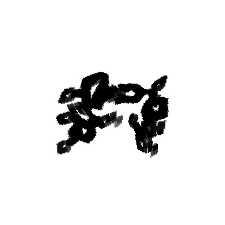 CC(=O)N[C@H]1CCN(C(=O)C2CCN(c3ccc(Cl)c(NC(C)c4ccc(Cl)cc4Cl)c3)CC2)C1